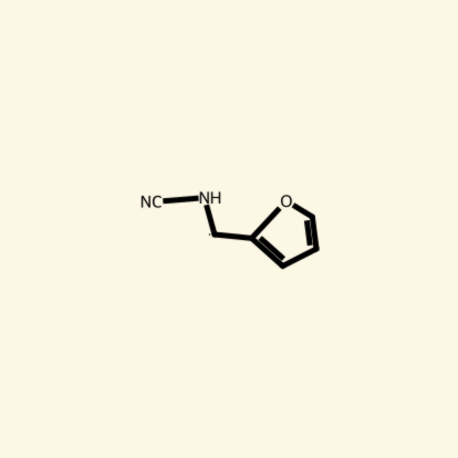 N#CN[CH]c1ccco1